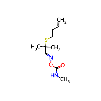 C=CCCSC(C)(C)C=NOC(=O)NC